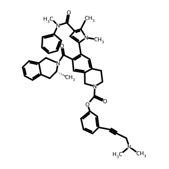 Cc1c(C(=O)N(C)c2ccccc2)cc(-c2cc3c(cc2C(=O)N2Cc4ccccc4C[C@H]2C)CN(C(=O)Oc2cccc(C#CCN(C)C)c2)CC3)n1C